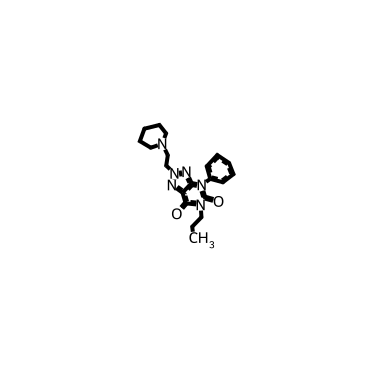 CCCn1c(=O)c2nn(CCN3CCCCC3)nc2n(-c2ccccc2)c1=O